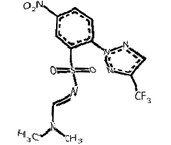 CN(C)C=NS(=O)(=O)c1cc([N+](=O)[O-])ccc1-n1ncc(C(F)(F)F)n1